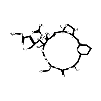 CC/C(=C\C(=O)OC)[C@H](OC(C)=O)[C@@]1(O)OCC[C@H](CO)OC(=O)C[C@H](O)C[C@@H]2CCC[C@H](C[C@@H]3CCO[C@H](/C=C/C1(C)C)O3)O2